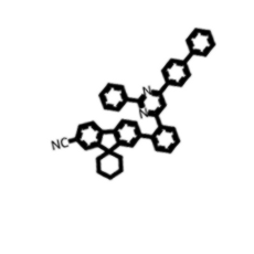 N#Cc1ccc2c(c1)C1(CCCCC1)c1cc(-c3ccccc3-c3cc(-c4ccc(-c5ccccc5)cc4)nc(-c4ccccc4)n3)ccc1-2